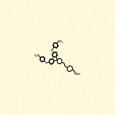 CCCCCCCCCCCC1CCC(CCC2CCC(c3ccc(Oc4ccc([N+](=O)[O-])cc4)cc3)(c3ccc(Oc4ccc([N+](=O)[O-])cc4)cc3)CC2)CC1